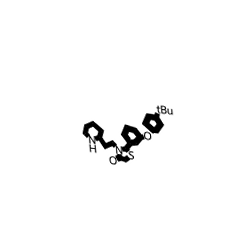 CC(C)(C)c1ccc(Oc2cccc(C3SCC(=O)N3CCC3CCCCN3)c2)cc1